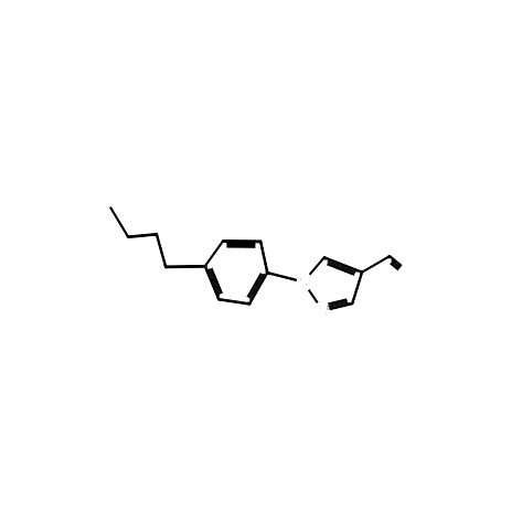 CCCCc1ccc(-n2cc(C=O)cn2)cc1